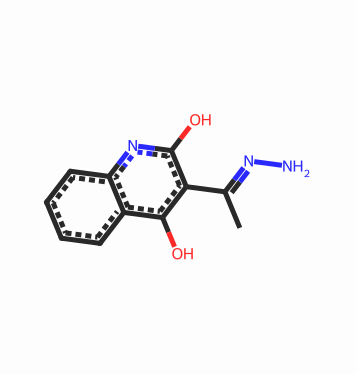 CC(=NN)c1c(O)nc2ccccc2c1O